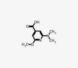 COc1cc(C(=O)O)cc(N(C)C)n1